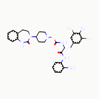 Nc1ccccc1NC(=O)[C@@H](Cc1cc(Br)c(N)c(Br)c1)NC(=O)ON1CCC(N2CCc3ccccc3NC2=O)CC1